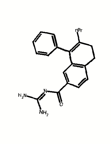 CCCC1=C(c2ccccc2)c2cc(C(=O)N=C(N)N)ccc2CC1